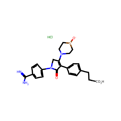 Cl.N=C(N)c1ccc(N2CC(N3CC[S+]([O-])CC3)=C(c3ccc(CCC(=O)O)cc3)C2=O)cc1